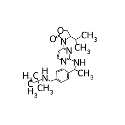 CC(C)C1COC(=O)N1c1ccnc(N[C@@H](C)c2ccc(CNC(C)(C)C)cc2)n1